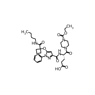 CCCCNC(=O)C1(Oc2cc(C(=O)N[C@@H](CCC(=O)O)C(=O)N3CCN(C(=O)OCC)CC3)nn2-c2ccccc2)CCC1